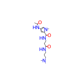 CC(=O)Nc1cc(C(=O)NCCC(=O)NCCCN(C)C)n(C)c1